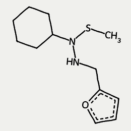 CSN(NCc1ccco1)C1CCCCC1